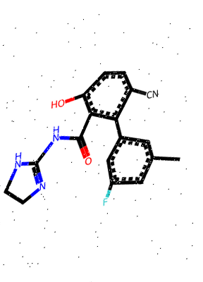 Cc1cc(F)cc(-c2c(C#N)ccc(O)c2C(=O)NC2=NCCN2)c1